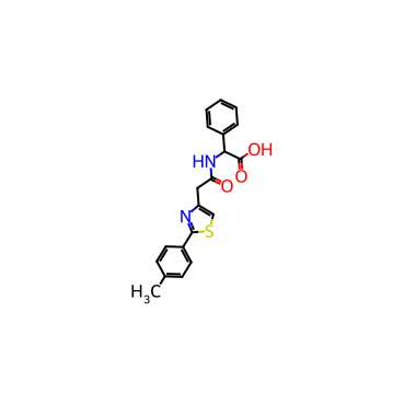 Cc1ccc(-c2nc(CC(=O)NC(C(=O)O)c3ccccc3)cs2)cc1